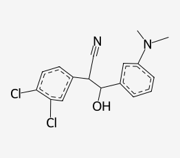 CN(C)c1cccc(C(O)C(C#N)c2ccc(Cl)c(Cl)c2)c1